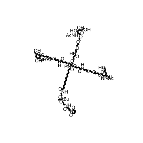 CC(=O)NC1C(O)CC(CO)OC1OCCOCCOCCNC(=O)CCOCC(COCCC(=O)NCCOCCOCCOC1OC(CO)CC(O)C1NC(C)=O)(COCCC(=O)NCCOCCOCCOC1OC(CO)C(O)C(O)C1NC(C)=O)NC(=O)CCCCCCCCCCC(=O)NCCOC(C)(OCCNC(=O)CCN1C(=O)C=CC1=O)C(C)(C)C